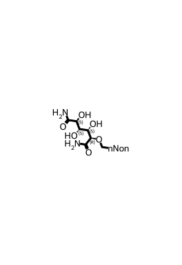 CCCCCCCCCCO[C@@H](C(N)=O)[C@@H](O)[C@H](O)[C@H](O)C(N)=O